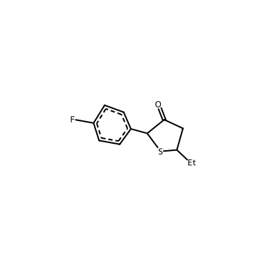 CCC1CC(=O)C(c2ccc(F)cc2)S1